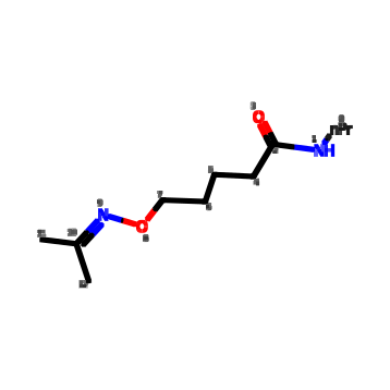 CCCNC(=O)CCCCON=C(C)C